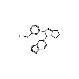 COc1cccc(N2C=C3CCCN3C2N2C=Cc3nccn3C2)c1